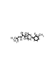 Cc1cccc(N2CCN(C(C)(C)C(=O)NCC(C)C)CC2)c1F